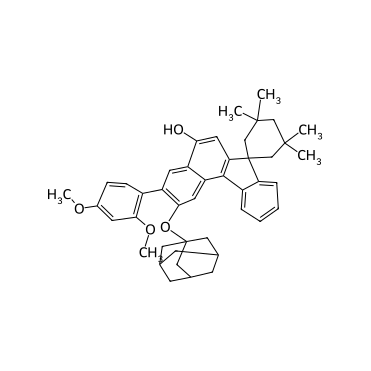 COc1ccc(-c2cc3c(O)cc4c(c3cc2OC23CC5CC(CC(C5)C2)C3)-c2ccccc2C42CC(C)(C)CC(C)(C)C2)c(OC)c1